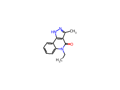 CCn1c(=O)c2c(C)n[nH]c2c2ccccc21